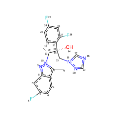 Cc1c2ccc(F)cc2nn1[C@H](C)[C@](O)(Cn1cncn1)c1ccc(F)cc1F